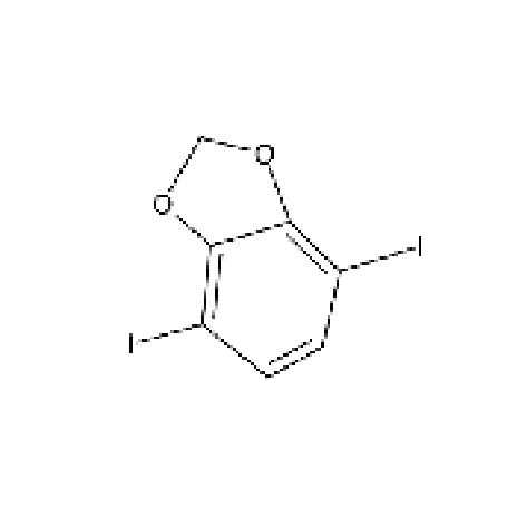 Ic1ccc(I)c2c1OCO2